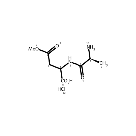 COC(=O)CC(NC(=O)[C@H](C)N)C(=O)O.Cl